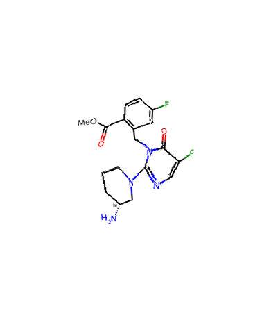 COC(=O)c1ccc(F)cc1Cn1c(N2CCC[C@@H](N)C2)ncc(F)c1=O